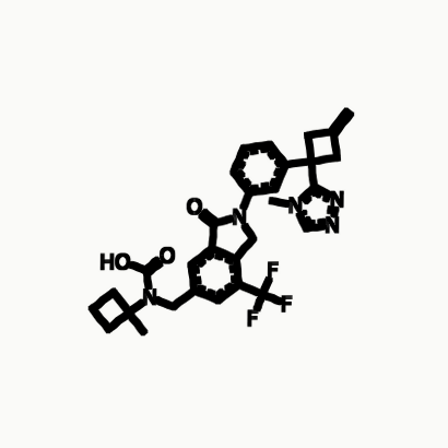 C=C1CC(c2cccc(N3Cc4c(cc(CN(C(=O)O)C5(C)CCC5)cc4C(F)(F)F)C3=O)c2)(c2nncn2C)C1